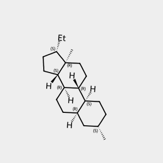 CC[C@H]1CC[C@H]2[C@@H]3CC[C@@H]4C[C@@H](C)CC[C@@H]4[C@H]3CC[C@]12C